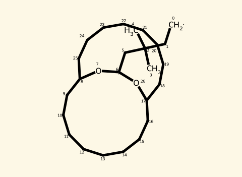 [CH2]CC(C)(C)C[C]1OC2CCCCCCCCC(CCCCCCCC2)O1